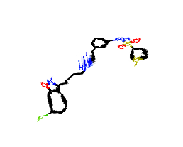 O=S(=O)(Nc1cccc(CNCCCc2noc3cc(F)ccc23)c1)c1ccsc1